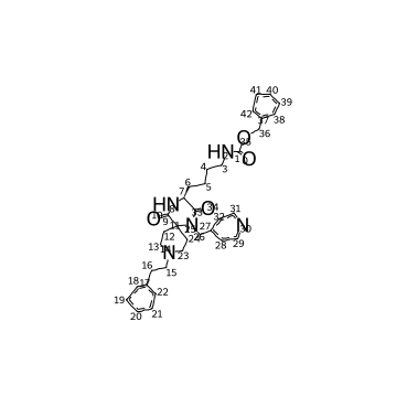 O=C(NCCCC[C@@H]1NC(=O)C2(CCN(CCc3ccccc3)CC2)N(Cc2ccncc2)C1=O)OCc1ccccc1